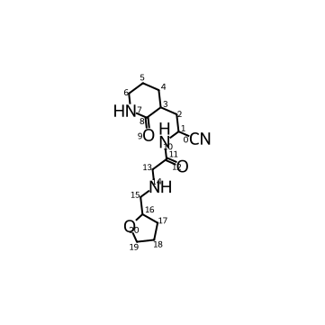 N#CC(CC1CCCNC1=O)NC(=O)CNCC1CCCO1